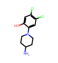 NC1CCN(c2cc(Cl)c(Cl)cc2O)CC1